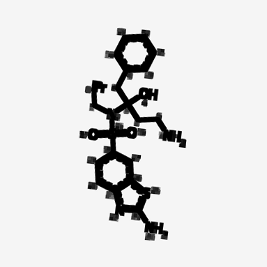 CC(C)CN(C(O)(CCN)Cc1ccccc1)S(=O)(=O)c1ccc2nc(N)sc2c1